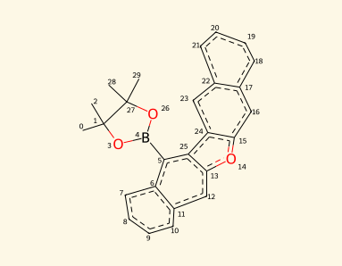 CC1(C)OB(c2c3ccccc3cc3oc4cc5ccccc5cc4c23)OC1(C)C